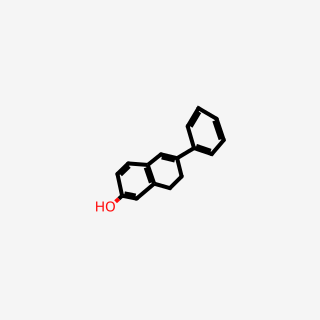 Oc1ccc2c(c1)CCC(c1ccccc1)=C2